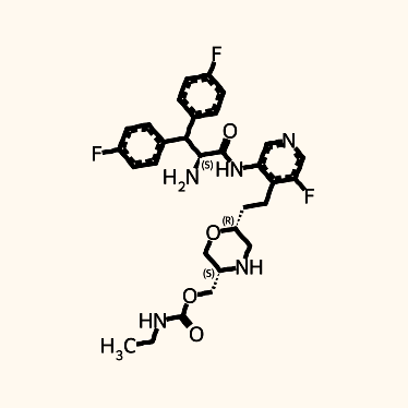 CCNC(=O)OC[C@@H]1CO[C@H](CCc2c(F)cncc2NC(=O)[C@@H](N)C(c2ccc(F)cc2)c2ccc(F)cc2)CN1